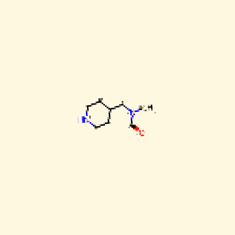 CN(C=O)CC1CCNCC1